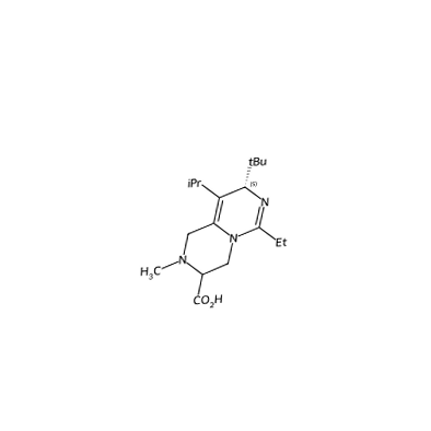 CCC1=N[C@@H](C(C)(C)C)C(C(C)C)=C2CN(C)C(C(=O)O)CN12